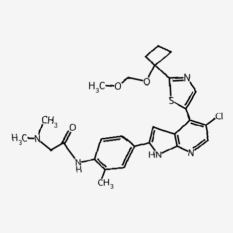 COCOC1(c2ncc(-c3c(Cl)cnc4[nH]c(-c5ccc(NC(=O)CN(C)C)c(C)c5)cc34)s2)CCC1